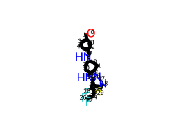 O=CC1=CCC=C(CNC2CCCC(NC3=NC=NC4=CC3C=C(CC(F)(F)F)S4)CC2)C=C1